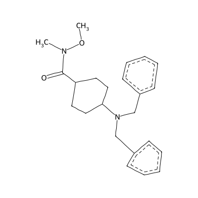 CON(C)C(=O)C1CCC(N(Cc2ccccc2)Cc2ccccc2)CC1